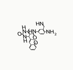 CC1=C(C(=O)Nc2ccc(N)c(C=N)c2)C(C2=Cc3ccccc3OC2)NC(=O)N1